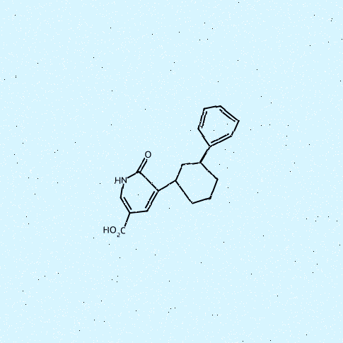 O=C(O)c1c[nH]c(=O)c(C2CCCC(c3ccccc3)C2)c1